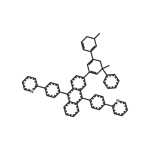 CC1C=C(C2=CC(c3ccc4c(-c5ccc(-c6ccccn6)cc5)c5ccccc5c(-c5ccc(-c6ccccn6)cc5)c4c3)=CC(C)(c3ccccc3)C2)C=CC1